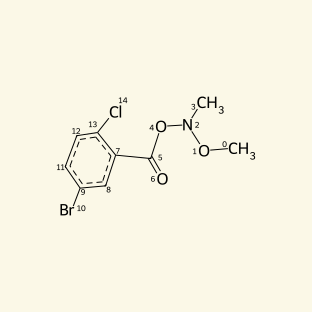 CON(C)OC(=O)c1cc(Br)ccc1Cl